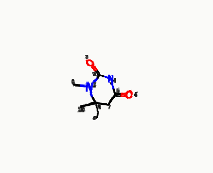 CN1C(=O)[N]C(=O)CC1(C)C